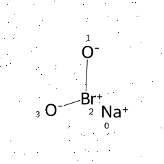 [Na+].[O-][Br+][O-]